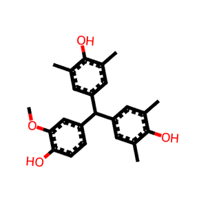 COc1cc(C(c2cc(C)c(O)c(C)c2)c2cc(C)c(O)c(C)c2)ccc1O